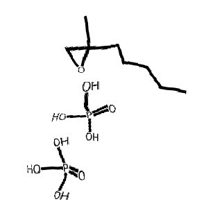 CCCCCC1(C)CO1.O=P(O)(O)O.O=P(O)(O)O